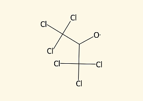 [O]C(C(Cl)(Cl)Cl)C(Cl)(Cl)Cl